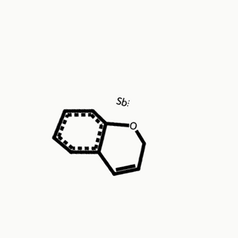 C1=Cc2ccccc2OC1.[Sb]